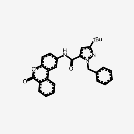 CC(C)(C)c1cc(C(=O)Nc2ccc3oc(=O)c4ccccc4c3c2)n(Cc2ccccc2)n1